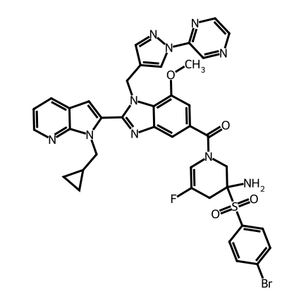 COc1cc(C(=O)N2C=C(F)CC(N)(S(=O)(=O)c3ccc(Br)cc3)C2)cc2nc(-c3cc4cccnc4n3CC3CC3)n(Cc3cnn(-c4cnccn4)c3)c12